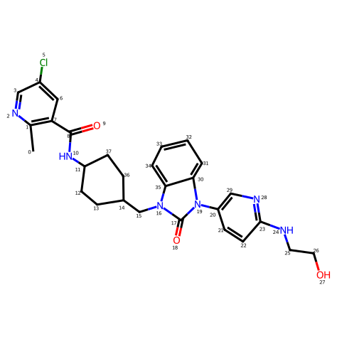 Cc1ncc(Cl)cc1C(=O)NC1CCC(Cn2c(=O)n(-c3ccc(NCCO)nc3)c3ccccc32)CC1